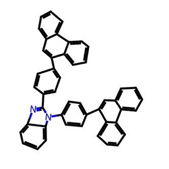 c1ccc2c(c1)cc(-c1ccc(-c3nc4ccccc4n3-c3ccc(-c4cc5ccccc5c5ccccc45)cc3)cc1)c1ccccc12